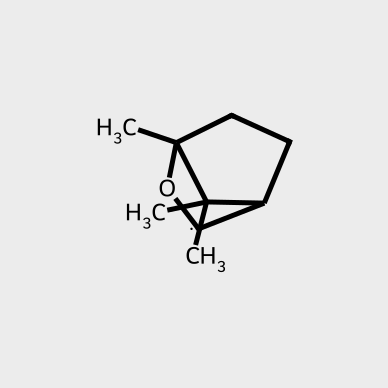 CC12CCC([CH]O1)C2(C)C